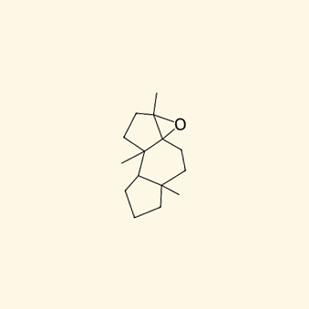 CC12CCCC1C1(C)CCC3(C)OC31CC2